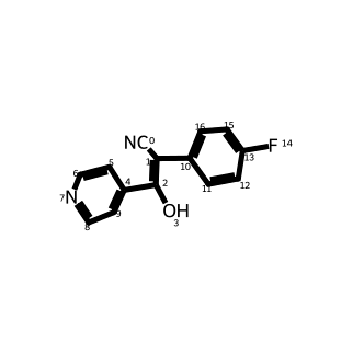 N#C/C(=C(/O)c1ccncc1)c1ccc(F)cc1